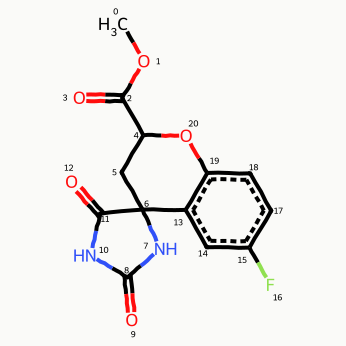 COC(=O)C1CC2(NC(=O)NC2=O)c2cc(F)ccc2O1